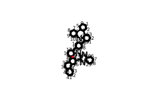 c1ccc2c(c1)-c1ccccc1-n1c3cc4c5ccccc5n(-c5nc6ccccc6nc5-c5ccc6ccc7ccccc7c6c5)c4cc3c3cccc-2c31